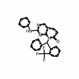 O=c1ccc2cnc(Nc3ccccc3)nc2n1C(c1ccccc1)c1ccccc1C(F)(F)F